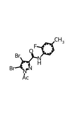 CC(=O)n1nc(C(=O)Nc2ccc(C)cc2F)c(Br)c1Br